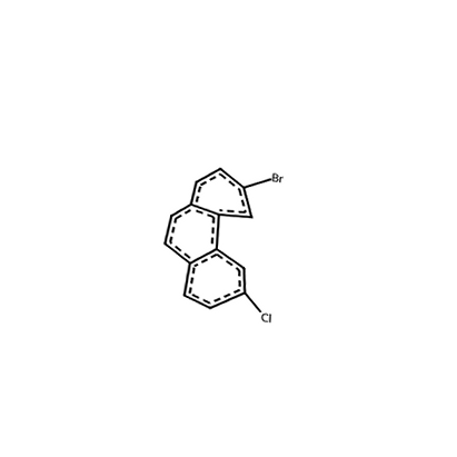 Clc1ccc2ccc3ccc(Br)cc3c2c1